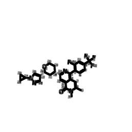 Cc1cc2c(-c3ccc(C(F)(F)F)cc3F)nc([C@H]3CCO[C@@H](c4cnn(C5CC5)c4)C3)cc2c(=O)n1C